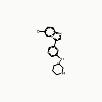 Clc1ccc2ncc(-c3cncc(N[C@@H]4CCCNC4)n3)n2c1